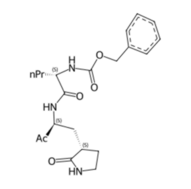 CCC[C@H](NC(=O)OCc1ccccc1)C(=O)N[C@@H](C[C@@H]1CCNC1=O)C(C)=O